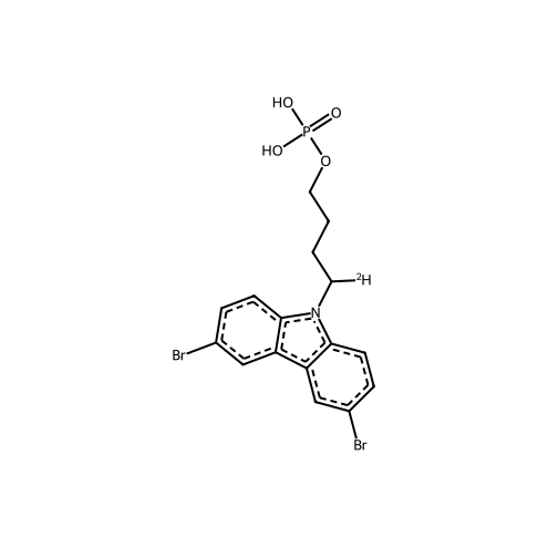 [2H]C(CCCOP(=O)(O)O)n1c2ccc(Br)cc2c2cc(Br)ccc21